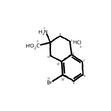 Cl.NC1(C(=O)O)CCc2cccc(Br)c2C1